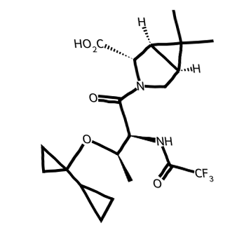 C[C@@H](OC1(C2CC2)CC1)[C@H](NC(=O)C(F)(F)F)C(=O)N1C[C@H]2[C@@H]([C@H]1C(=O)O)C2(C)C